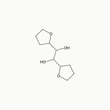 OC(C1CCCO1)C(O)C1CCCO1